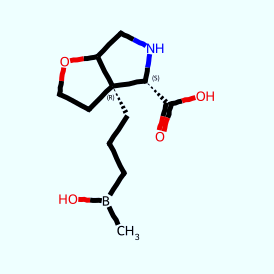 CB(O)CCC[C@]12CCOC1CN[C@@H]2C(=O)O